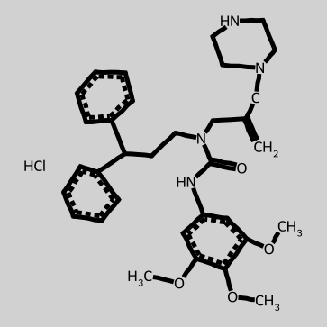 C=C(CN1CCNCC1)CN(CCC(c1ccccc1)c1ccccc1)C(=O)Nc1cc(OC)c(OC)c(OC)c1.Cl